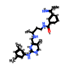 CCC[C@@H](CCNC(=O)c1cccc(C(=N)NC)c1)NCc1nc(Nc2cc(C)cc(C)c2)ncc1CC